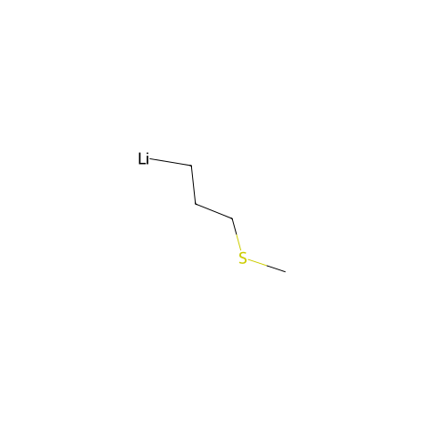 [Li][CH2]CCSC